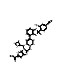 CC1(c2ccc(C#N)cc2F)Oc2cccc(C3=CCN(Cc4nc5cc(C(=O)O)sc5n4CC4CCO4)CC3)c2O1